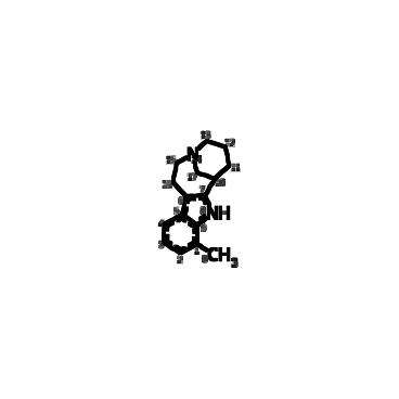 Cc1cccc2c3c([nH]c12)C1CCCN(CC3)C1